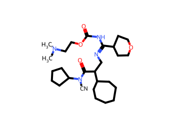 CN(C)CCOC(=O)NC(=NCC(C(=O)N(C#N)C1CCCC1)C1CCCCCC1)C1CCOCC1